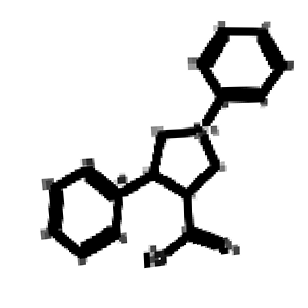 O=C(O)C1CN(c2ccccc2)CC1c1ccccc1